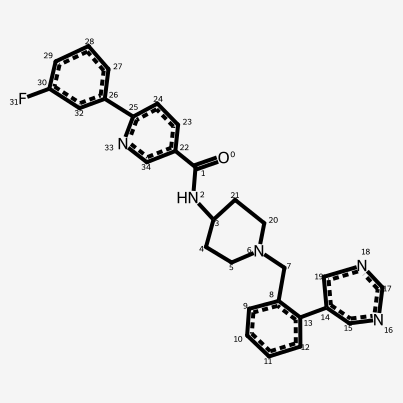 O=C(NC1CCN(Cc2ccccc2-c2cncnc2)CC1)c1ccc(-c2cccc(F)c2)nc1